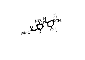 COC(=O)Cc1cc([N+](=O)[O-])c(NC2CC(C)CC(C)(C)C2)cc1F